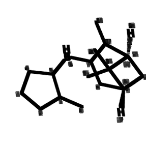 CC1CCCC1BC1C[C@H]2C[C@H](C1C)C2(C)C